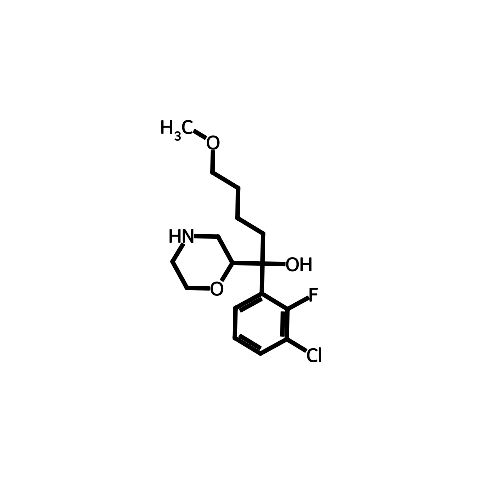 COCCCCC(O)(c1cccc(Cl)c1F)C1CNCCO1